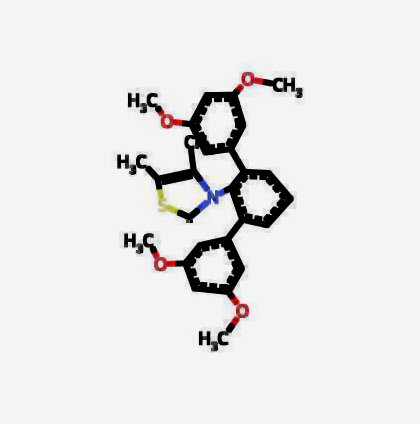 COc1cc(OC)cc(-c2cccc(-c3cc(OC)cc(OC)c3)c2N2[C]SC(C)=C2C)c1